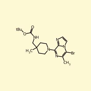 Cc1nc(N2CCC(C)(CNC(=O)OC(C)(C)C)CC2)c2nccn2c1Br